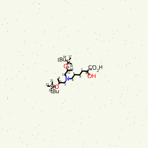 CC(CN(CCCCC(O)C(=O)O)CC(C)O[Si](C)(C)C(C)(C)C)O[Si](C)(C)C(C)(C)C